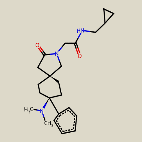 CN(C)[C@]1(c2ccccc2)CC[C@@]2(CC1)CC(=O)N(CC(=O)NCC1CC1)C2